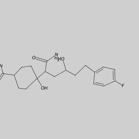 NC(=O)C1CCC(O)(C(CC(O)[CH]Cc2ccc(F)cc2)C(N)=O)CC1